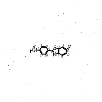 CNc1ccc(-c2nc3ccc(C)cc3s2)cc1